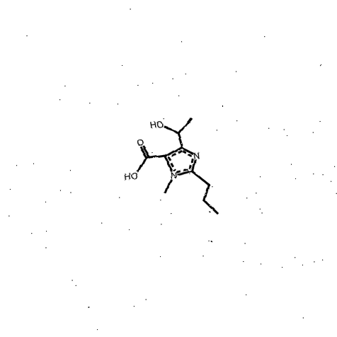 CCCc1nc(C(C)O)c(C(=O)O)n1C